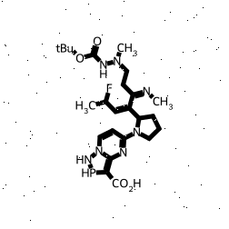 C/N=C(CCN(C)NC(=O)OC(C)(C)C)\C(=C/C(C)F)C1CCCN1C1=NC2=C(C(=O)O)PNN2C=C1